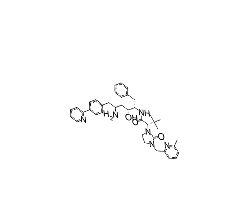 Cc1cccc(CN2CCN([C@H](C(=O)N[C@@H](Cc3ccccc3)[C@H](O)C[C@@H](N)Cc3ccc(-c4ccccn4)cc3)C(C)(C)C)C2=O)n1